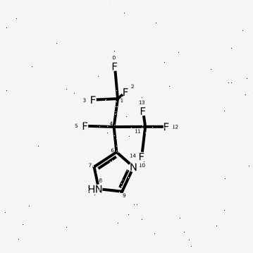 FC(F)(F)C(F)(c1c[nH]cn1)C(F)(F)F